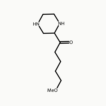 COCCCCC(=O)C1CNCCN1